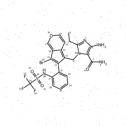 CCc1nc(N)c(C(N)=O)n1Cc1c2ccocc-2c(Br)c1-c1ccccc1NS(=O)(=O)C(F)(F)F